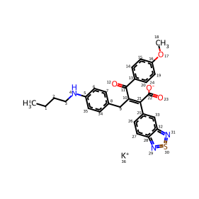 CCCCNc1ccc(CC(C(=O)c2ccc(OC)cc2)=C(C(=O)[O-])c2ccc3nsnc3c2)cc1.[K+]